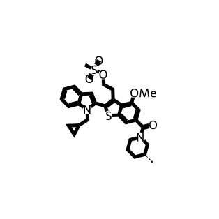 COc1cc(C(=O)N2CCC[C@@H](C)C2)cc2sc(-c3cc4ccccc4n3CC3CC3)c(CCOS(C)(=O)=O)c12